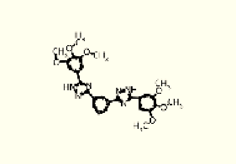 COc1cc(-c2nc(-c3cccc(-c4n[nH]c(-c5cc(OC)c(OC)c(OC)c5)n4)c3)n[nH]2)cc(OC)c1OC